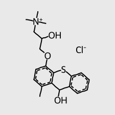 Cc1ccc(OCC(O)C[N+](C)(C)C)c2c1C(O)c1ccccc1S2.[Cl-]